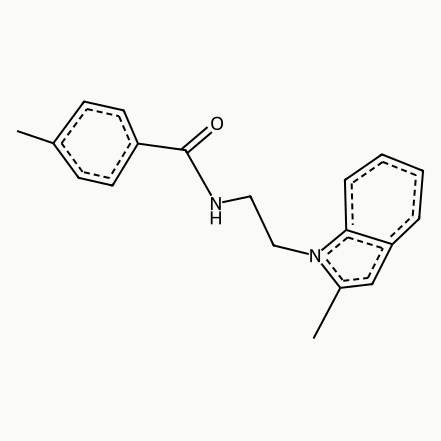 Cc1ccc(C(=O)NCCn2c(C)cc3ccccc32)cc1